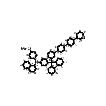 COc1ccc(N(c2ccc(C3(c4cccc(-c5ccc(-c6ccc(-c7cccnc7)cc6)cc5)c4)c4ccccc4-c4ccccc43)cc2)c2cccc3ccccc23)cc1